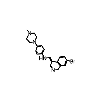 CN1CCN(c2ccc(N/C=C3\C=NCc4cc(Br)ccc43)cc2)CC1